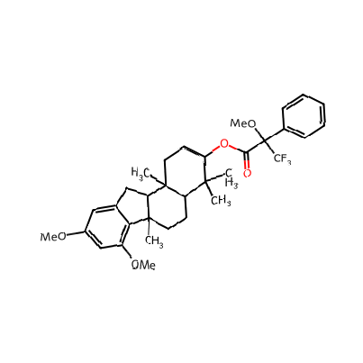 COc1cc2c(c(OC)c1)C1(C)CCC3C(C)(C)C(OC(=O)C(OC)(c4ccccc4)C(F)(F)F)CCC3(C)C1C2